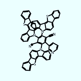 N#Cc1c(-c2cccnc2)c(-n2c3ccccc3c3c4sc5ccccc5c4ccc32)c(C#N)c(-n2c3ccccc3c3c4sc5ccccc5c4ccc32)c1-n1c2ccccc2c2c3sc4ccccc4c3ccc21